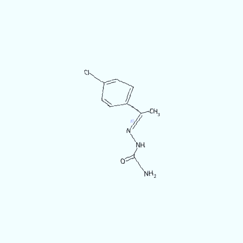 C/C(=N\NC(N)=O)c1ccc(Cl)cc1